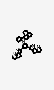 C1=Cc2cccc3cc4c(c(c23)C1)c1ccccc1n4-c1cc(-c2cnc3c(ccc4cccnc43)c2)cc(-c2cnc3c(ccc4cccnc43)c2)c1